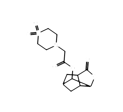 O=C(CN1CCS(=O)(=O)CC1)OC1C2CC3C(=O)OC1C3C2